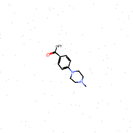 CCCC(=O)c1ccc(N2CCN(C)CC2)cc1